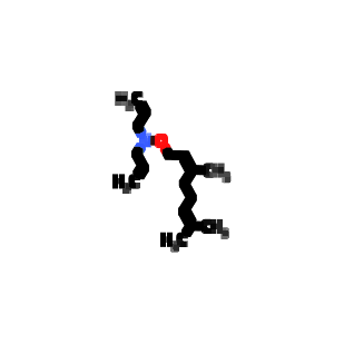 C=CCN(CC=C)OCC=C(C)CCC=C(C)C